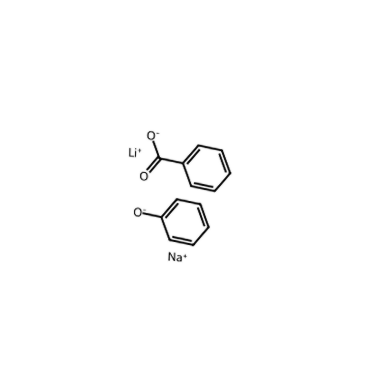 O=C([O-])c1ccccc1.[Li+].[Na+].[O-]c1ccccc1